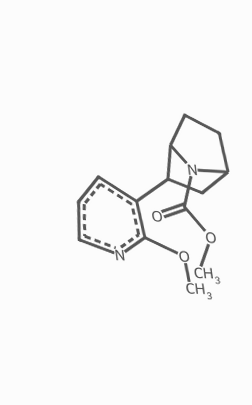 COC(=O)N1C2CCC1C(c1cccnc1OC)C2